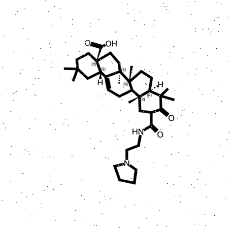 CC1(C)CC[C@]2(C(=O)O)CC[C@]3(C)C(=CCC4[C@@]5(C)CC(C(=O)NCCN6CCCC6)C(=O)C(C)(C)[C@@H]5CC[C@]43C)[C@@H]2C1